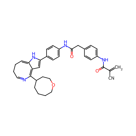 C=C(C#N)C(=O)Nc1ccc(CC(=O)Nc2ccc(-c3cc4/c([nH]3)=C\CC/C=N\C=4C3CCCCOCC3)cc2)cc1